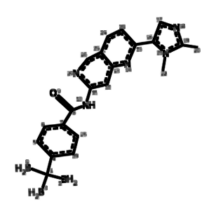 BC(B)(B)c1ccc(C(=O)Nc2cc3nc(-c4cnc(C)n4C)ccc3cn2)cc1